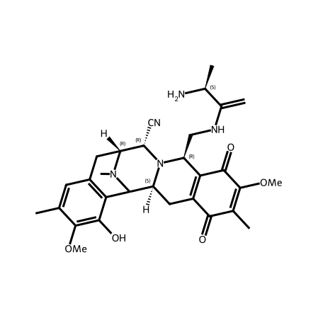 C=C(NC[C@H]1C2=C(C[C@H]3C4c5c(cc(C)c(OC)c5O)C[C@H]([C@H](C#N)N13)N4C)C(=O)C(C)=C(OC)C2=O)[C@H](C)N